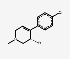 CC(C)[C@@H]1CN(C)CC=C1c1ccc(Cl)cc1